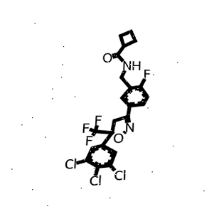 O=C(NCc1cc(C2=NOC(c3cc(Cl)c(Cl)c(Cl)c3)(C(F)(F)F)C2)ccc1F)C1CCC1